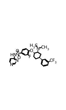 CN(C)[C@H]1C[C@@H](c2cccc(C(F)(F)F)c2)CC[C@@H]1Oc1ccc(S(=O)(=O)Nc2ccncn2)cc1F